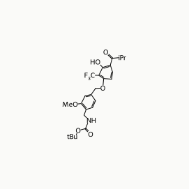 COc1cc(COc2ccc(C(=O)C(C)C)c(O)c2C(F)(F)F)ccc1CNC(=O)OC(C)(C)C